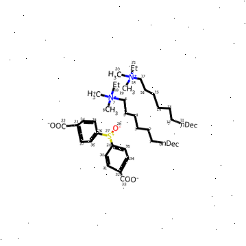 CCCCCCCCCCCCCCCC[N+](C)(C)CC.CCCCCCCCCCCCCCCC[N+](C)(C)CC.O=C([O-])c1ccc([S+]([O-])c2ccc(C(=O)[O-])cc2)cc1